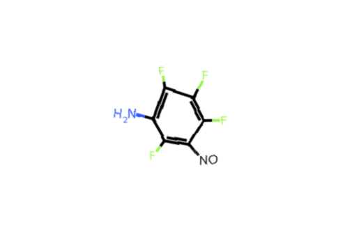 Nc1c(F)c(F)c(F)c(N=O)c1F